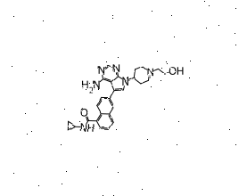 Nc1ncnc2c1c(-c1ccc3c(C(=O)NC4CC4)cccc3c1)cn2C1CCN(CCO)CC1